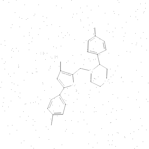 Cc1ccc(-c2cc(C)c(CN3CCOCC3c3ccc(F)cc3)o2)cc1.Cl.Cl